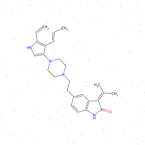 C=Cc1[nH]cc(N2CCN(CCc3ccc4c(c3)C(=C(C)C)C(=O)N4)CC2)c1C=CC